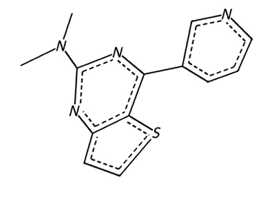 CN(C)c1nc(-c2cccnc2)c2sccc2n1